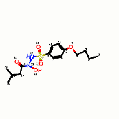 CCCCOc1ccc(S(=O)(=O)NN(O)C(=O)CC(C)C)cc1